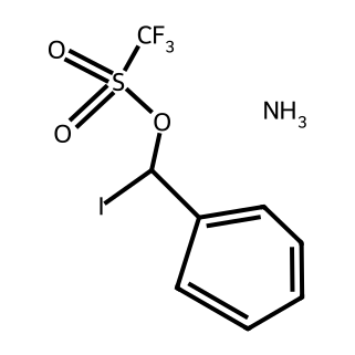 N.O=S(=O)(OC(I)c1ccccc1)C(F)(F)F